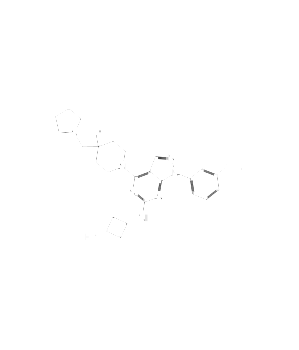 OC1(CN2CCCC2)CCN(c2nc(N[C@H]3C[C@@H](O)C3)nc3c2cnn3-c2cccc(C(F)(F)F)c2)CC1